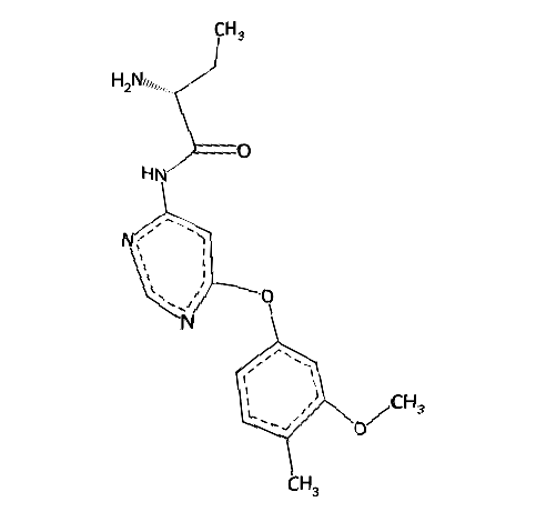 CC[C@@H](N)C(=O)Nc1cc(Oc2ccc(C)c(OC)c2)ncn1